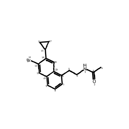 CC(=O)NCCc1cccc2cc(Br)c(C3CC3)cc12